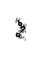 Nc1cccc(SNc2ccc(Cl)c(-c3ccc(C(F)(F)F)cc3)n2)n1